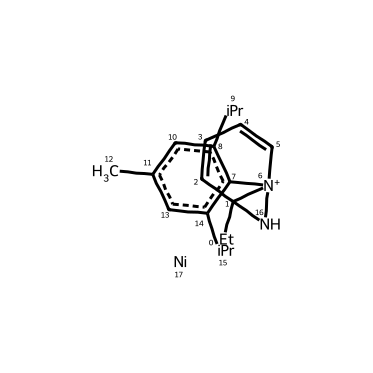 CCC12C=CC=C[N+]1(c1c(C(C)C)cc(C)cc1C(C)C)N2.[Ni]